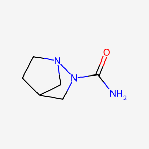 NC(=O)N1CC2CCN1C2